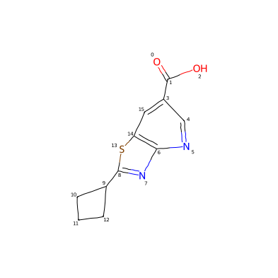 O=C(O)c1cnc2nc(C3CCC3)sc2c1